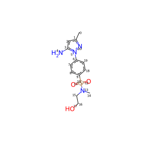 Cc1cc(N)n(-c2ccc(S(=O)(=O)N(C)CCO)cc2)n1